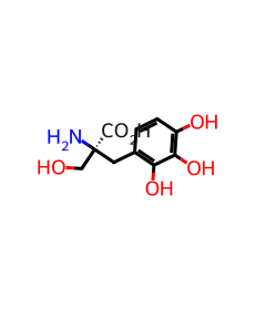 N[C@](CO)(Cc1ccc(O)c(O)c1O)C(=O)O